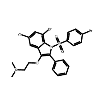 CN(C)CCOc1c(-c2ccccc2)n(S(=O)(=O)c2ccc(Br)cc2)c2c(Br)cc(Cl)cc12